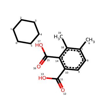 C1CCCCC1.Cc1ccc(C(=O)O)c(C(=O)O)c1C